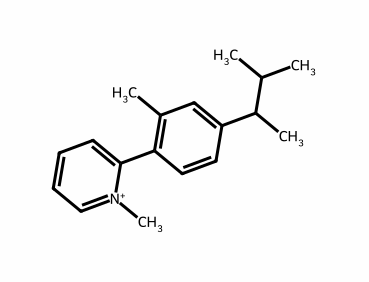 Cc1cc(C(C)C(C)C)ccc1-c1cccc[n+]1C